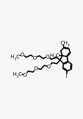 COCCOCCOCCC1(CCOCCOCCOC)c2cc(I)ccc2C2=CC=C(C)CC21C